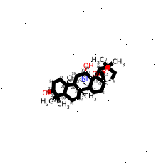 CC1(C)CC[C@@]23CC[C@]4(C=N)[C@@](OC2=O)(C3C1)[C@@H](O)CC1[C@@]2(C)CCC(=O)C(C)(C)C2CC[C@]14C